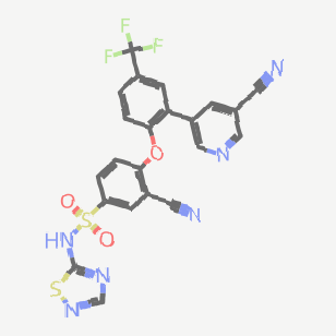 N#Cc1cncc(-c2cc(C(F)(F)F)ccc2Oc2ccc(S(=O)(=O)Nc3ncns3)cc2C#N)c1